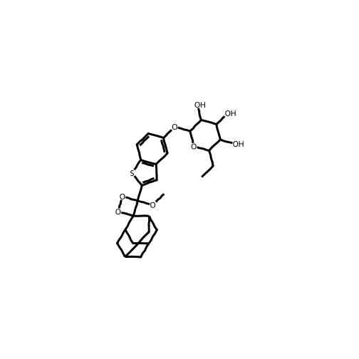 CCC1OC(Oc2ccc3sc(C4(OC)OOC45C4CC6CC(C4)CC5C6)cc3c2)C(O)C(O)C1O